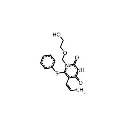 C/C=C\c1c(Sc2ccccc2)n(COCCO)c(=O)[nH]c1=O